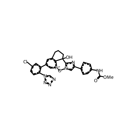 COC(=O)Nc1ccc(-c2cn3c(n2)C2(O)CCCc4cc(-c5cc(Cl)ccc5-n5cnnn5)c[n+](c42)O3)cc1